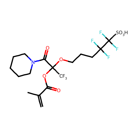 C=C(C)C(=O)OC(OCCCC(F)(F)C(F)(F)S(=O)(=O)O)(C(=O)N1CCCCC1)C(F)(F)F